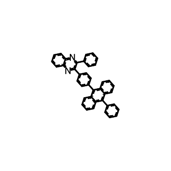 c1ccc(-c2nc3ccccc3nc2-c2ccc(-c3c4ccccc4c(-c4ccccc4)c4ccccc34)cc2)cc1